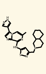 Cc1cn2c(-c3cn[nH]c3)cnc2c(Nc2cc(CN3CCC4CCCCC4C3)ns2)n1